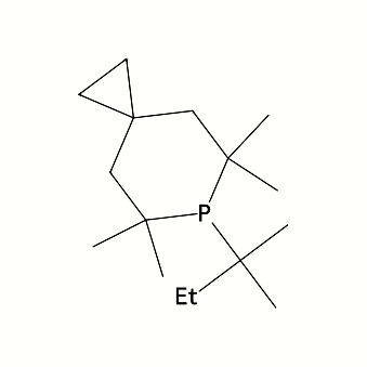 CCC(C)(C)P1C(C)(C)CC2(CC2)CC1(C)C